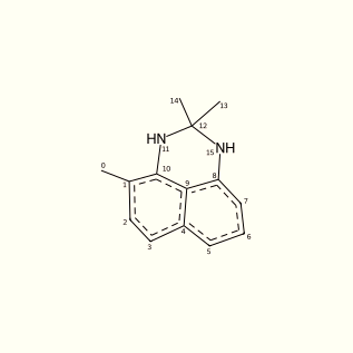 Cc1ccc2cccc3c2c1NC(C)(C)N3